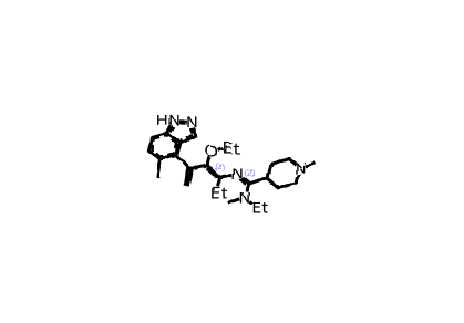 C=C(/C(OCC)=C(CC)/N=C(/C1CCN(C)CC1)N(C)CC)c1c(C)ccc2[nH]ncc12